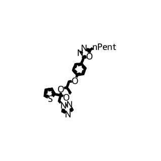 CCCCCc1nnc(-c2ccc(OCC3COC(Cn4cncn4)(c4cccs4)O3)cc2)o1